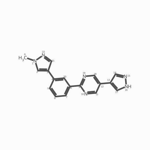 Cn1cc(-c2cccc(-c3ncc(-c4cn[nH]c4)cn3)c2)cn1